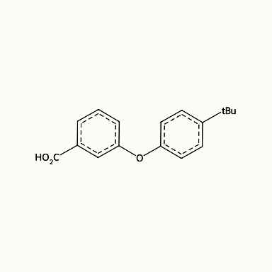 CC(C)(C)c1ccc(Oc2cccc(C(=O)O)c2)cc1